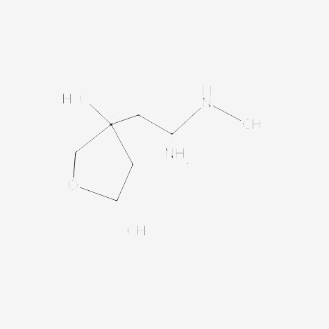 CNCCC1(C)CO[C@@H](C)[C@H]1N